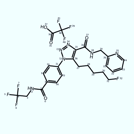 O=C(NCC(F)(F)F)c1ccc(-n2nnc(C(=O)NCc3ccccn3)c2CCCCCF)cc1.O=C(O)C(F)(F)F